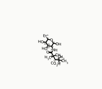 CCC1OC(O)C(NC(=O)C(C)(C)CC(C)(C)C(=O)O)[C@@H](O)C1O